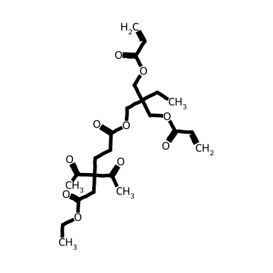 C=CC(=O)OCC(CC)(COC(=O)C=C)COC(=O)CCC(CC(=O)OCC)(C(C)=O)C(C)=O